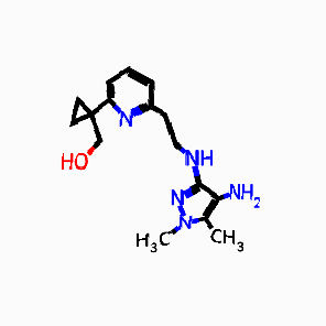 Cc1c(N)c(NCCc2cccc(C3(CO)CC3)n2)nn1C